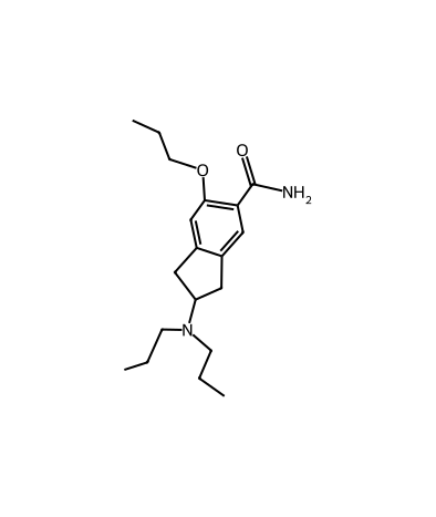 CCCOc1cc2c(cc1C(N)=O)CC(N(CCC)CCC)C2